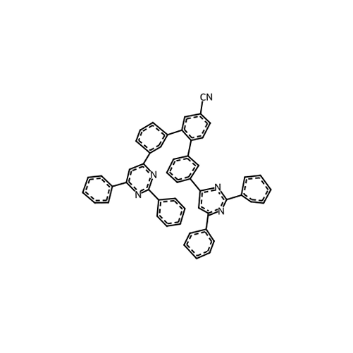 N#Cc1ccc(-c2cccc(-c3cc(-c4ccccc4)nc(-c4ccccc4)n3)c2)c(-c2cccc(-c3cc(-c4ccccc4)nc(-c4ccccc4)n3)c2)c1